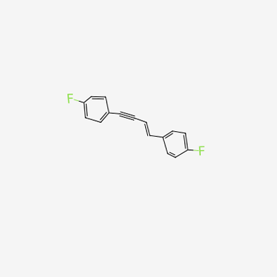 Fc1ccc(C#CC=Cc2ccc(F)cc2)cc1